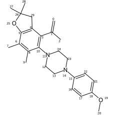 C=C(C)c1c2c(c(C)c(C)c1N1CCN(c3ccc(OC)cc3)CC1)OC(C)(C)C2